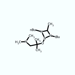 CCCCN1C(C)N(C(C)(C)C)N1OC(C)(C)CN(C)C